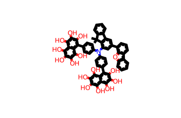 CC1(C)c2ccccc2-c2cc(-c3cccc4c3oc3ccccc34)cc(N(c3ccc(-c4c(O)c(O)c(O)c5c(O)c(O)c(O)c(O)c45)cc3)c3ccc(-c4c(O)c(O)c(O)c5c(O)c(O)c(O)c(O)c45)cc3)c21